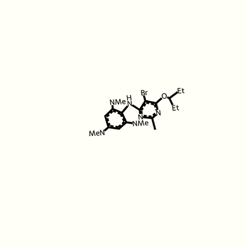 CCC(CC)Oc1nc(C)nc(Nc2c(NC)cc(NC)cc2NC)c1Br